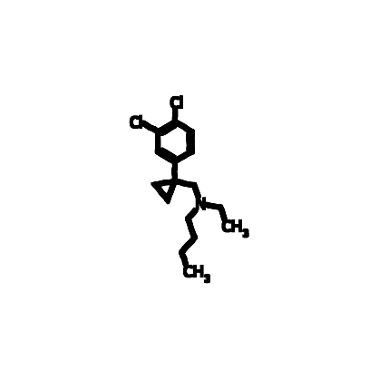 CCCCN(CC)CC1(c2ccc(Cl)c(Cl)c2)CC1